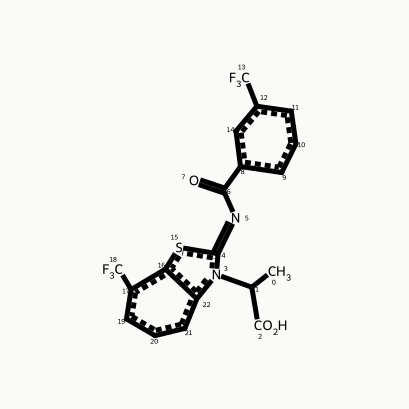 CC(C(=O)O)n1/c(=N/C(=O)c2cccc(C(F)(F)F)c2)sc2c(C(F)(F)F)cccc21